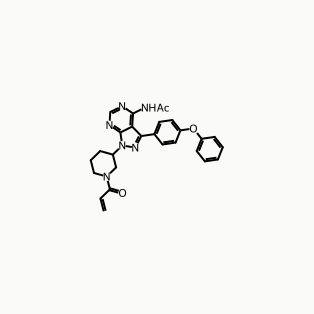 C=CC(=O)N1CCCC(n2nc(-c3ccc(Oc4ccccc4)cc3)c3c(NC(C)=O)ncnc32)C1